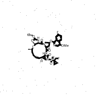 COc1cnc(O[C@@H]2C[C@H]3C(=O)N[C@]4(C(=O)NS(=O)(=O)C5(CF)CC5)C[C@H]4/C=C\CC[C@@H](C)C[C@@H](C)[C@H](NC(=O)OC(C)(C)C)C(=O)N3C2)c2cc(F)ccc12